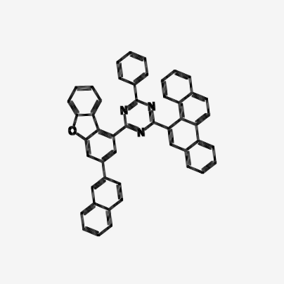 c1ccc(-c2nc(-c3cc(-c4ccc5ccccc5c4)cc4oc5ccccc5c34)nc(-c3cc4ccccc4c4ccc5ccccc5c34)n2)cc1